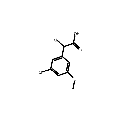 COc1cc(Cl)cc(C(Cl)C(=O)O)c1